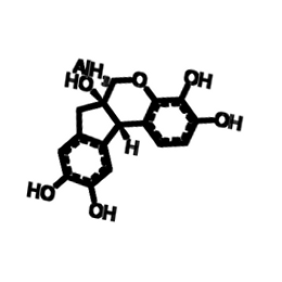 Oc1cc2c(cc1O)[C@H]1c3ccc(O)c(O)c3OC[C@@]1(O)C2.[AlH3]